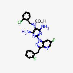 Nc1nc(-n2nc(Cc3ccccc3F)c3ncc(F)cc32)nc(N)c1N(Cc1ccccc1Cl)C(=O)O